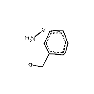 CC(N)=O.ClCc1ccccc1